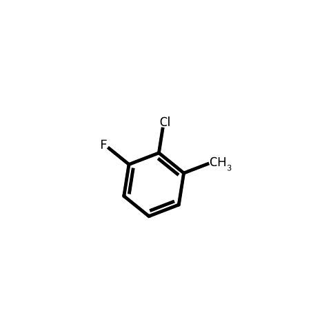 Cc1cccc(F)c1Cl